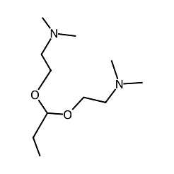 CCC(OCCN(C)C)OCCN(C)C